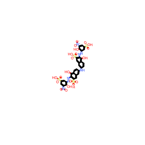 O=[N+]([O-])c1cc(S(=O)(=O)O)cc(N=Nc2c(S(=O)(=O)O)cc3cc(Nc4ccc5c(O)c(N=Nc6cc(S(=O)(=O)O)cc([N+](=O)[O-])c6O)c(S(=O)(=O)O)cc5c4)ccc3c2O)c1O